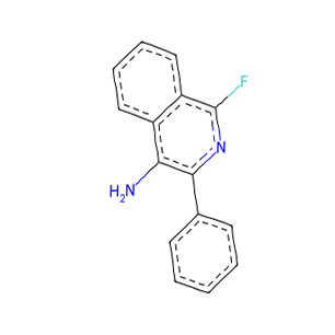 Nc1c(-c2ccccc2)nc(F)c2ccccc12